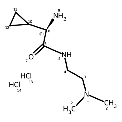 CN(C)CCNC(=O)[C@H](N)C1CC1.Cl.Cl